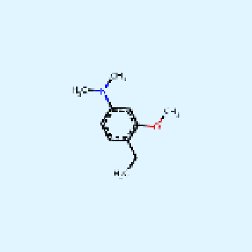 [CH2]Cc1ccc(N(C)C)cc1OC